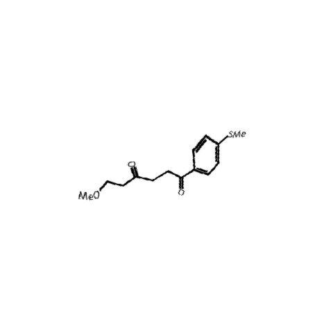 COCCC(=O)CCC(=O)c1ccc(SC)cc1